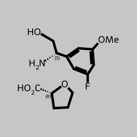 COc1cc(F)cc([C@H](N)CO)c1.O=C(O)[C@H]1CCCO1